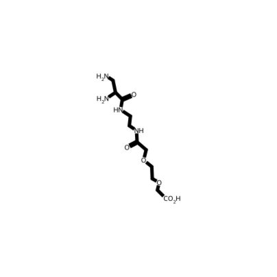 NCC(N)C(=O)NCCNC(=O)COCCOCC(=O)O